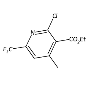 CCOC(=O)c1c(C)cc(C(F)(F)F)nc1Cl